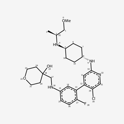 COC[C@H](C)N[C@H]1CC[C@H](Nc2cc(-c3cc(NCC4(O)CCOCC4)ccc3F)c(Cl)cn2)CC1